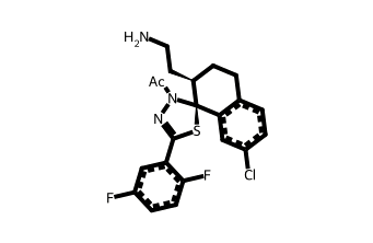 CC(=O)N1N=C(c2cc(F)ccc2F)S[C@@]12c1cc(Cl)ccc1CC[C@@H]2CCN